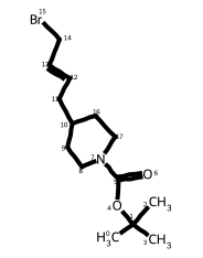 CC(C)(C)OC(=O)N1CCC(CC=CCBr)CC1